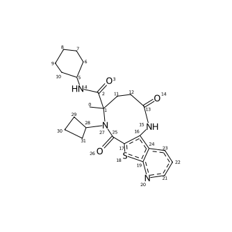 CC1(C(=O)NC2CCCCC2)CCC(=O)Nc2c(sc3ncccc23)C(=O)N1C1CCC1